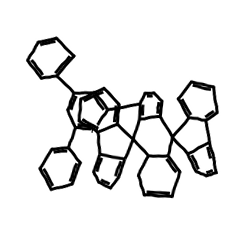 C1=CCC2C(=C1)C1(c3ccccc3-c3ccccc31)c1cccc(-c3cc(-c4ccccc4)cc(-c4ccccc4)n3)c1C21c2ccccc2-c2ccccc21